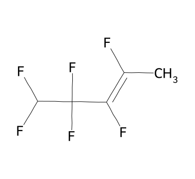 C/C(F)=C(\F)C(F)(F)C(F)F